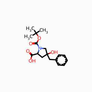 CC(C)(C)OC(=O)N1CC(O)(Cc2ccccc2)CC1C(=O)O